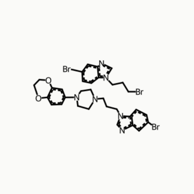 BrCCCn1cnc2cc(Br)ccc21.Brc1ccc2c(c1)ncn2CCCN1CCN(c2ccc3c(c2)OCCO3)CC1